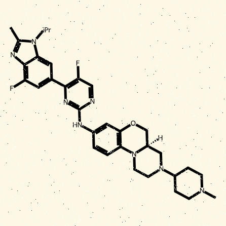 Cc1nc2c(F)cc(-c3nc(Nc4ccc5c(c4)OC[C@H]4CN(C6CCN(C)CC6)CCN54)ncc3F)cc2n1C(C)C